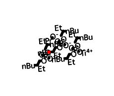 CC(C)[O-].CCCCC(CC)COP(=O)([O-])OCC(CC)CCCC.CCCCC(CC)COP(=O)([O-])OCC(CC)CCCC.CCCCC(CC)COP(=O)([O-])OCC(CC)CCCC.[Ti+4]